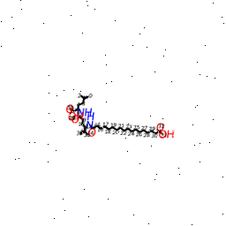 C=C(C)CCC(NC(=O)CCC(NC(=O)CCCCCCCCCCCCCCCCC(=O)O)C(=C)C)C(=O)O